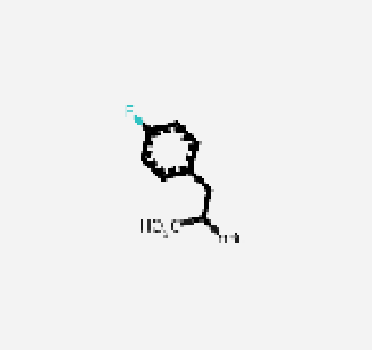 CCCCC(Cc1ccc(F)cc1)C(=O)O